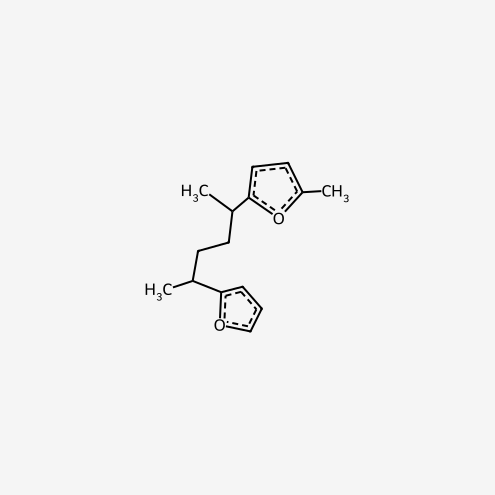 Cc1ccc(C(C)CCC(C)c2ccco2)o1